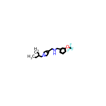 CCC(CC)CN1CC2C(CNCc3cccc(OC(F)(F)F)c3)C2C1